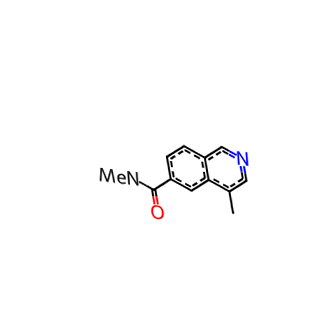 CNC(=O)c1ccc2cncc(C)c2c1